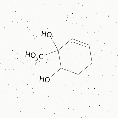 O=C(O)C1(O)C=CCCC1O